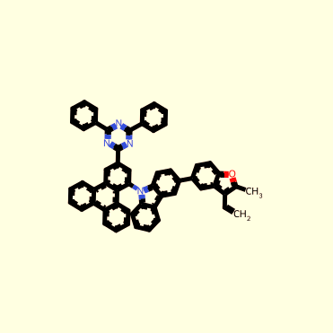 C=Cc1c(C)oc2ccc(-c3ccc4c(c3)c3ccccc3n4-c3cc(-c4nc(-c5ccccc5)nc(-c5ccccc5)n4)cc4c5ccccc5c5ccccc5c34)cc12